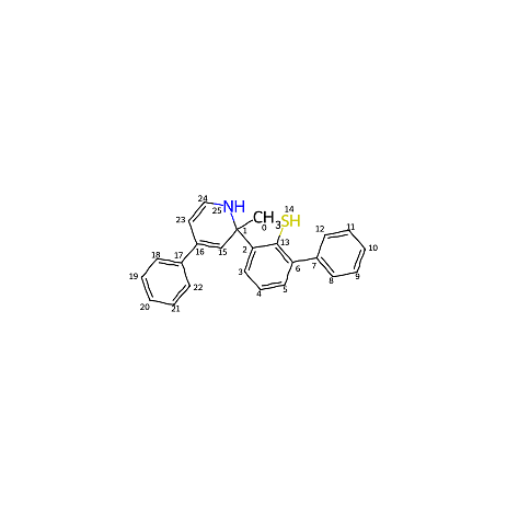 CC1(c2cccc(-c3ccccc3)c2S)C=C(c2ccccc2)C=CN1